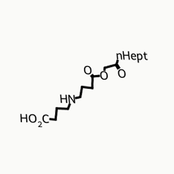 CCCCCCCC(=O)COC(=O)CCCNCCCC(=O)O